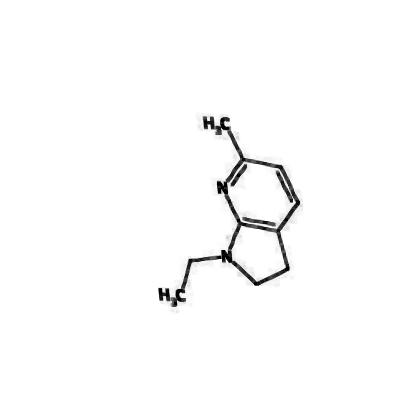 CCN1CCc2ccc(C)nc21